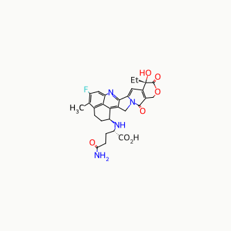 CC[C@@]1(O)C(=O)OCc2c1cc1n(c2=O)Cc2c-1nc1cc(F)c(C)c3c1c2[C@@H](N[C@@H](CCC(N)=O)C(=O)O)CC3